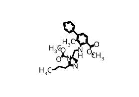 CCCCc1ncc(CNc2c(C(=O)OC)ccc(-c3ccccc3)c2C)n1C(=O)OC